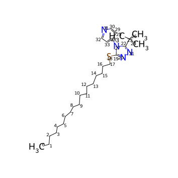 CCCCCCCCCCCCCCCCCCSc1nnc(C(C)(C)C)n1-c1ccncc1